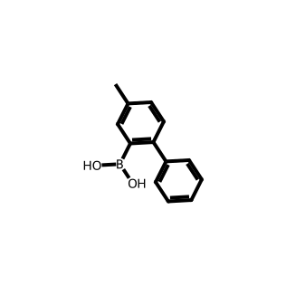 Cc1ccc(-c2ccccc2)c(B(O)O)c1